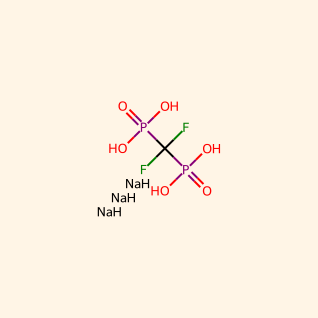 O=P(O)(O)C(F)(F)P(=O)(O)O.[NaH].[NaH].[NaH]